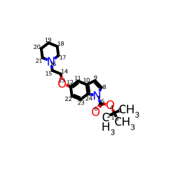 CC(C)(C)OC(=O)n1ccc2cc(OCCN3CCCCC3)ccc21